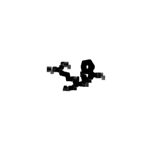 CC(=O)/N=C(\NCCCN(C)C)Nc1nc(C)c2ccccc2n1